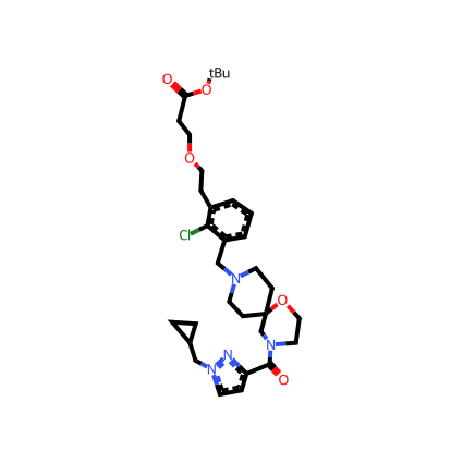 CC(C)(C)OC(=O)CCOCCc1cccc(CN2CCC3(CC2)CN(C(=O)c2ccn(CC4CC4)n2)CCO3)c1Cl